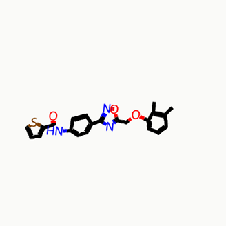 Cc1cccc(OCc2nc(-c3ccc(NC(=O)c4cccs4)cc3)no2)c1C